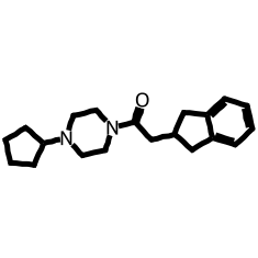 O=C(CC1Cc2ccccc2C1)N1CCN(C2CCCC2)CC1